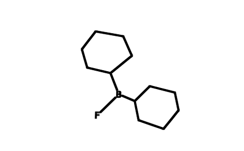 FB(C1CCCCC1)C1CCCCC1